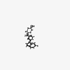 Cc1ccc2ccn(-c3ccnc(NC4CCC(O)CC4)n3)c2c1